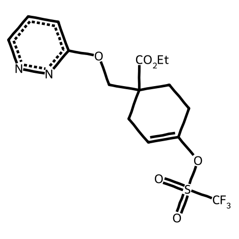 CCOC(=O)C1(COc2cccnn2)CC=C(OS(=O)(=O)C(F)(F)F)CC1